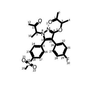 CC(=O)C(C)Oc1nn(C(C)C(C)=O)c(-c2ccc(S(C)(=O)=O)cc2)c1-c1ccc(F)cc1